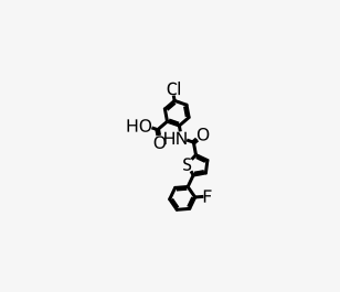 O=C(Nc1ccc(Cl)cc1C(=O)O)c1ccc(-c2ccccc2F)s1